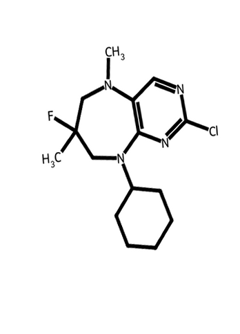 CN1CC(C)(F)CN(C2CCCCC2)c2nc(Cl)ncc21